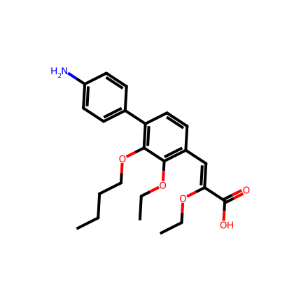 CCCCOc1c(-c2ccc(N)cc2)ccc(C=C(OCC)C(=O)O)c1OCC